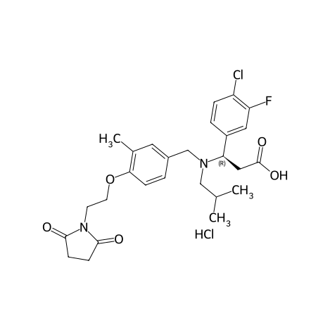 Cc1cc(CN(CC(C)C)[C@H](CC(=O)O)c2ccc(Cl)c(F)c2)ccc1OCCN1C(=O)CCC1=O.Cl